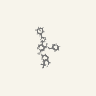 CC1(C)OCc2ccc(Nc3cc(NCc4cccnc4)c(-c4nc(C56CCN(CC5)CC6)no4)cn3)nc21